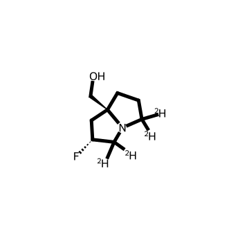 [2H]C1([2H])CC[C@@]2(CO)C[C@@H](F)C([2H])([2H])N12